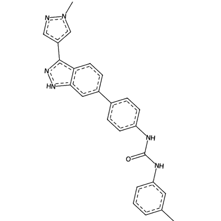 Cc1cccc(NC(=O)Nc2ccc(-c3ccc4c(-c5cnn(C)c5)n[nH]c4c3)cc2)c1